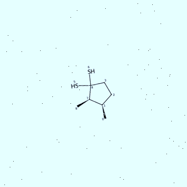 C[C@@H]1CCC(S)(S)[C@@H]1C